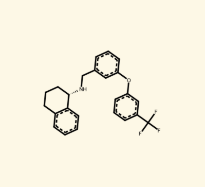 FC(F)(F)c1cccc(Oc2cccc(CN[C@H]3CCCc4ccccc43)c2)c1